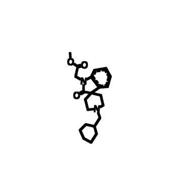 COC(=O)CN1C(=O)C2(CCN(CC3CCCCC3)CC2)c2ccccc21